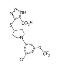 O=C(O)c1[nH]nnc1SC1CCN(c2cc(Cl)cc(OC(F)(F)F)c2)CC1